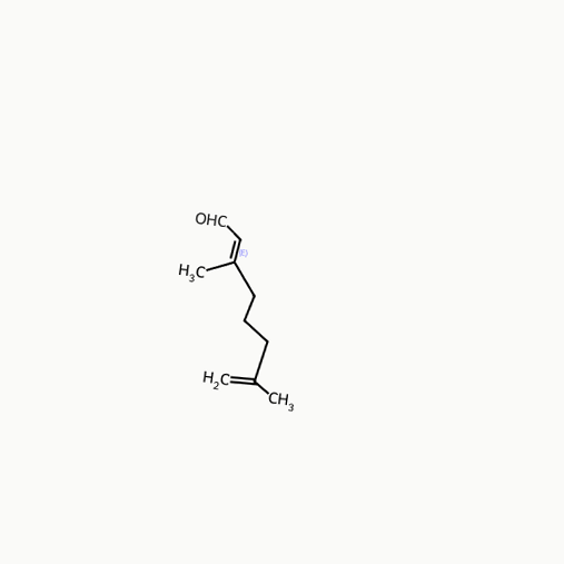 C=C(C)CCC/C(C)=C/C=O